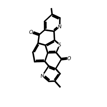 Cc1cnc2c(c1)C(=O)c1sc3c4c(ccc-2c14)C(=O)c1cc(C)cnc1-3